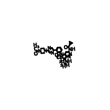 [2H]C([2H])([2H])NC(=O)c1nnc(NC(=O)C2CC2)cc1Nc1cccc(-c2cnc(N3CCN(C(C)=O)CC3)cn2)c1OC